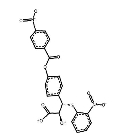 O=C(Oc1ccc([C@H](Sc2ccccc2[N+](=O)[O-])[C@@H](O)C(=O)O)cc1)c1ccc([N+](=O)[O-])cc1